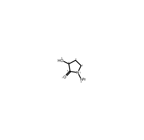 CCCN1CCC(O)C1=O